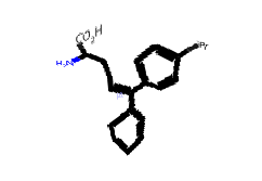 CC(C)c1ccc(/C(=C\CC(N)C(=O)O)c2ccccc2)cc1